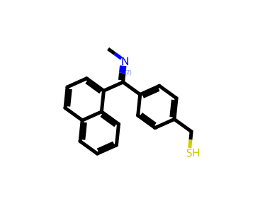 C/N=C(/c1ccc(CS)cc1)c1cccc2ccccc12